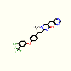 Cn1cc(Cc2cncnc2)c(=O)nc1CCc1ccc(Oc2ccc(Cl)c(C(F)(F)F)c2)cc1